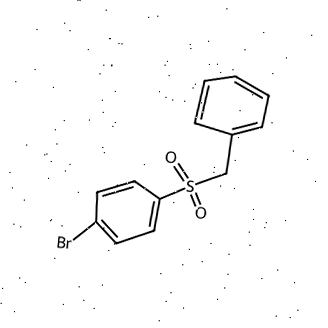 O=S(=O)(Cc1ccccc1)c1ccc(Br)cc1